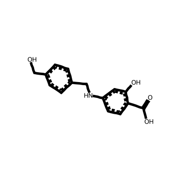 O=C(O)c1ccc(NCc2ccc(CO)cc2)cc1O